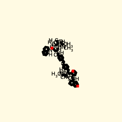 CN[C@@H](C)C(=O)NC(Cc1ccc(OCc2ccc(C(=O)NC3CC(C(=O)NC4CCCc5ccccc54)N(C(=O)C(NC(=O)[C@H](C)NC)C(C)(C)C)C3)cc2)cc1)C(=O)C1CC=CC[C@@H]1C(=O)NC1CCCc2ccccc21